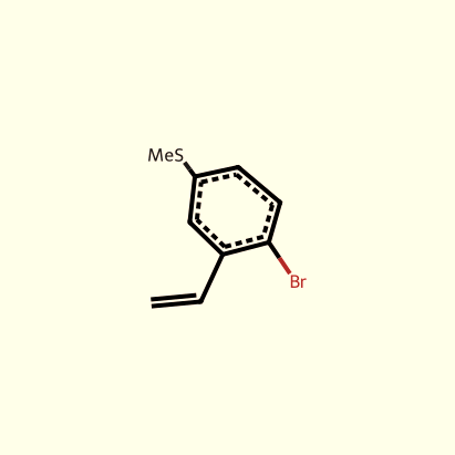 C=Cc1cc(SC)ccc1Br